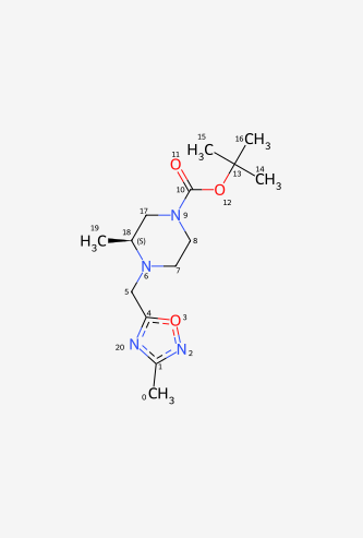 Cc1noc(CN2CCN(C(=O)OC(C)(C)C)C[C@@H]2C)n1